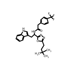 CC(C)(C)CCc1nnc(C(Cc2c[nH]c3ccccc23)NC(=O)Cc2ccc(C(F)(F)F)cc2)o1